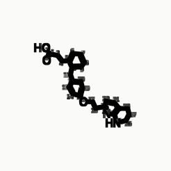 O=C(O)CCc1ccccc1Cc1ccc(OCCc2ccc3c(n2)NCCC3)cc1